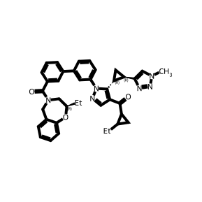 CCC1CC1C(=O)c1cnn(-c2cccc(-c3cccc(C(=O)N4Cc5ccccc5O[C@H](CC)C4)c3)c2)c1[C@@H]1C[C@H]1c1cn(C)nn1